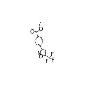 CCOC(=O)c1ccc(-c2cc(C(F)(F)F)on2)cc1